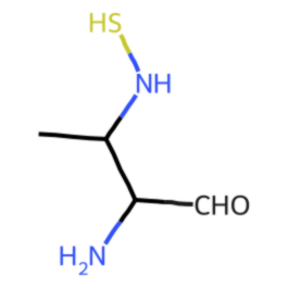 CC(NS)C(N)C=O